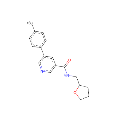 CC(C)(C)c1ccc(-c2cncc(C(=O)NCC3CCCO3)c2)cc1